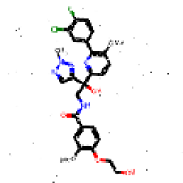 COc1cc(C(=O)NCC(O)(c2ccc(OC)c(-c3ccc(F)c(Cl)c3)n2)c2cnn(C)n2)ccc1OCCO